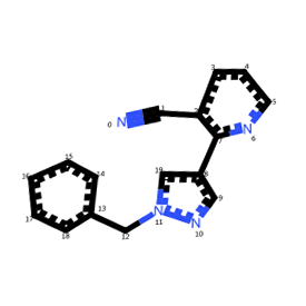 N#Cc1cccnc1-c1cnn(Cc2ccccc2)c1